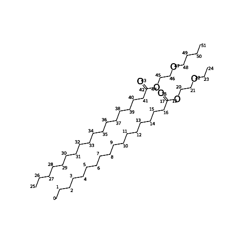 CCCCCCCCCCCCCCCCCC(=O)OCCOCC.CCCCCCCCCCCCCCCCCC(=O)OCCOCCCC